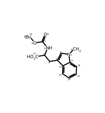 Cn1cc(CC(NC(=O)OC(C)(C)C)C(=O)O)c2ccccc21